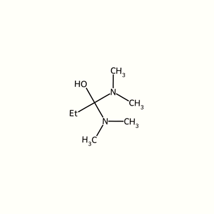 CCC(O)(N(C)C)N(C)C